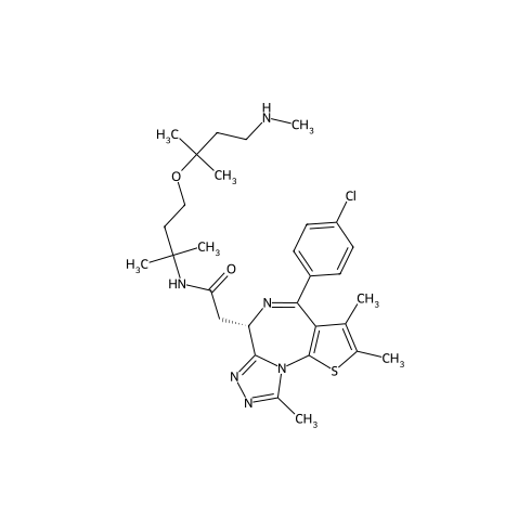 CNCCC(C)(C)OCCC(C)(C)NC(=O)C[C@@H]1N=C(c2ccc(Cl)cc2)c2c(sc(C)c2C)-n2c(C)nnc21